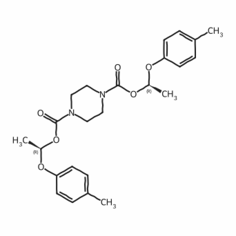 Cc1ccc(O[C@@H](C)OC(=O)N2CCN(C(=O)O[C@H](C)Oc3ccc(C)cc3)CC2)cc1